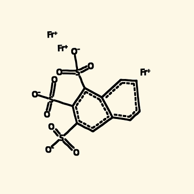 O=S(=O)([O-])c1cc2ccccc2c(S(=O)(=O)[O-])c1S(=O)(=O)[O-].[Fr+].[Fr+].[Fr+]